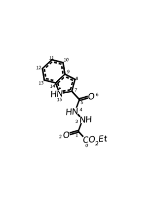 CCOC(=O)C(=O)NNC(=O)c1cc2ccccc2[nH]1